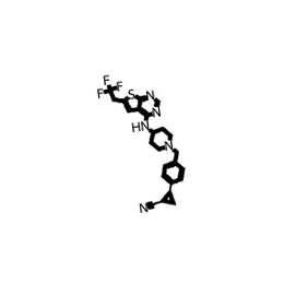 N#C[C@@H]1C[C@@H]1c1ccc(CN2CCC(Nc3ncnc4sc(CC(F)(F)F)cc34)CC2)cc1